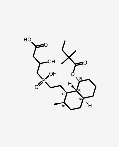 CCC(C)(C)C(=O)O[C@@H]1CCC[C@H]2CC[C@@H](C)[C@@H](CCP(=O)(O)CC(O)CC(=O)O)[C@@H]21